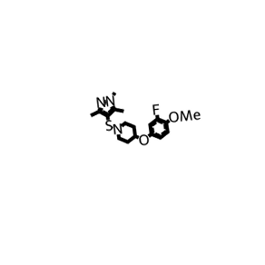 COc1ccc(OC2CCN(Sc3c(C)nn(C)c3C)CC2)cc1F